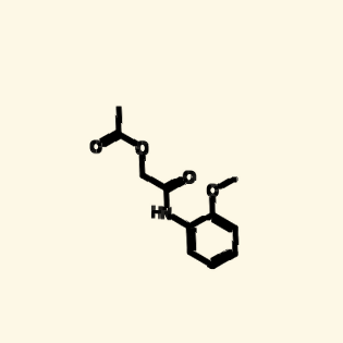 COc1ccccc1NC(=O)COC(C)=O